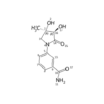 C[C@@]1(O)CN(c2cccc(C(N)=O)c2)C(=O)[C@@H]1O